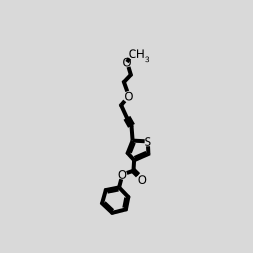 COCCOCC#Cc1cc(C(=O)Oc2ccccc2)cs1